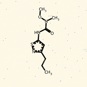 CCCc1cc(NC(=O)N(C)OC)sn1